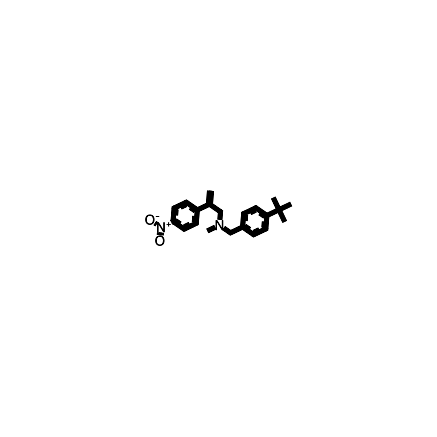 C=C(CN(C)Cc1ccc(C(C)(C)C)cc1)c1ccc([N+](=O)[O-])cc1